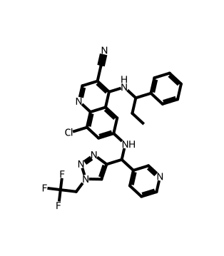 CCC(Nc1c(C#N)cnc2c(Cl)cc(NC(c3cccnc3)c3cn(CC(F)(F)F)nn3)cc12)c1ccccc1